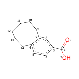 O=C(O)c1ccc2c(c1)CCCCCC2